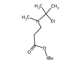 CCC(C)(C)N(C)CCC(=O)OC(C)(C)C